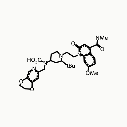 CNC(=O)c1cc(=O)n(CCN2CCC(N(Cc3cc4c(cn3)OCCO4)C(=O)O)CC2C(C)(C)C)c2cc(OC)ccc12